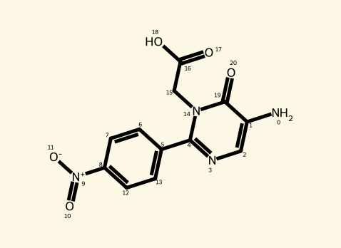 Nc1cnc(-c2ccc([N+](=O)[O-])cc2)n(CC(=O)O)c1=O